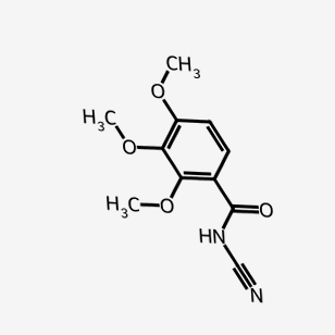 COc1ccc(C(=O)NC#N)c(OC)c1OC